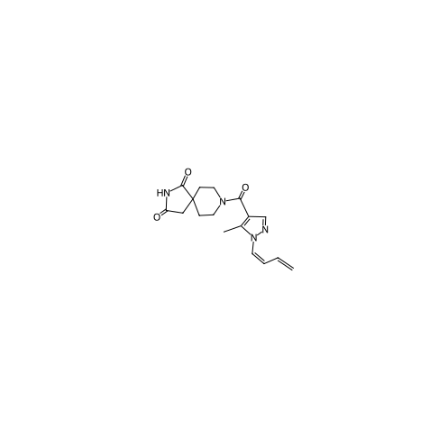 C=C/C=C\n1ncc(C(=O)N2CCC3(CC2)CC(=O)NC3=O)c1C